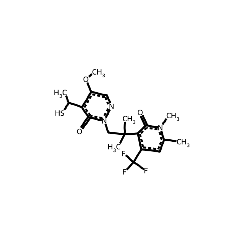 COc1cnn(CC(C)(C)c2c(C(F)(F)F)cc(C)n(C)c2=O)c(=O)c1C(C)S